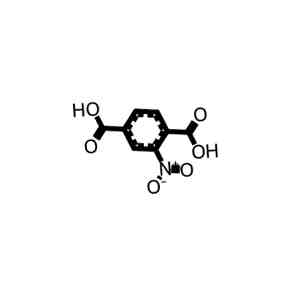 O=C(O)c1ccc(C(=O)O)c([N+](=O)[O-])c1